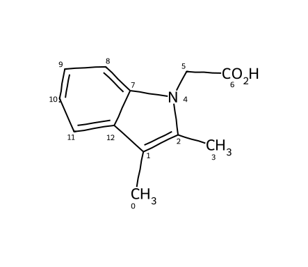 Cc1c(C)n(CC(=O)O)c2cc[c]cc12